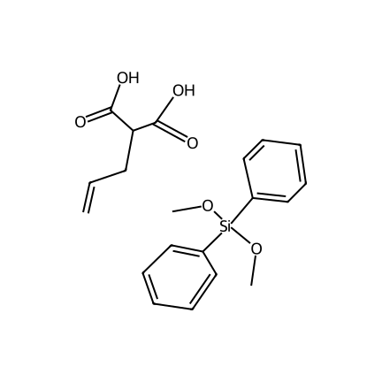 C=CCC(C(=O)O)C(=O)O.CO[Si](OC)(c1ccccc1)c1ccccc1